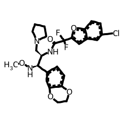 CON[C@H](c1ccc2c(c1)OCCO2)[C@@H](CN1CCCC1)NC(=O)C(F)(F)c1cc2cc(Cl)ccc2o1